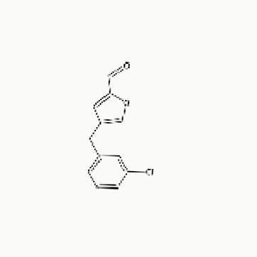 O=Cc1cc(Cc2cccc(Cl)c2)co1